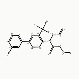 C=CCN(C(=O)COC)c1ccc(-c2cncc(F)c2)nc1C(F)(F)F